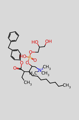 CCCCCCCCC(C(C[N+](C)(C)C)OP(=O)(O)OCC(O)CO)C(CC)C(=O)Oc1ccc(Cc2ccccc2)cc1